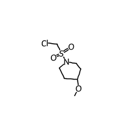 COC1CCN(S(=O)(=O)CCl)CC1